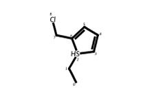 C[CH][SH]1C=CC=C1CCl